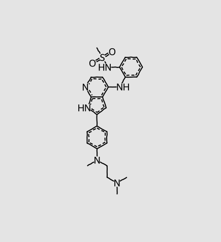 CN(C)CCN(C)c1ccc(-c2cc3c(Nc4ccccc4NS(C)(=O)=O)ccnc3[nH]2)cc1